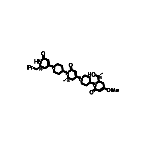 COC1=CC(=O)N(C2CCN(C3=CC(=O)N(C4CCN(C5=CC(=O)N[C@H](CC(C)C)C5)CC4)[C@@H](C)C3)CC2)C([C@@H](C)O)C1